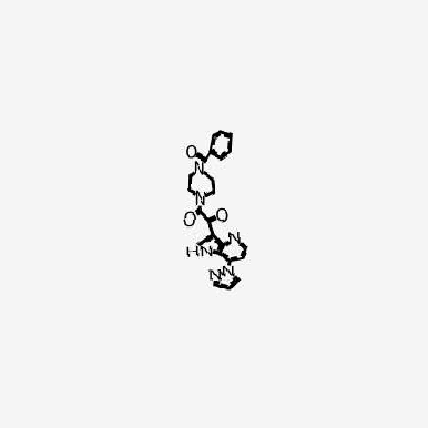 O=C(C(=O)N1CCN(C(=O)c2ccccc2)CC1)c1c[nH]c2c(-n3cccn3)ccnc12